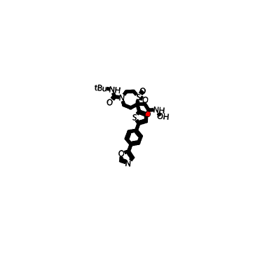 CC(C)(C)NC(=O)N1CCC(CC(=O)NO)(c2ccc(-c3ccc(-c4cnco4)cc3)s2)S(=O)(=O)CC1